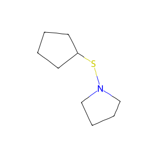 C1CCC(SN2CCCC2)C1